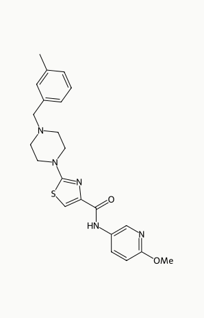 COc1ccc(NC(=O)c2csc(N3CCN(Cc4cccc(C)c4)CC3)n2)cn1